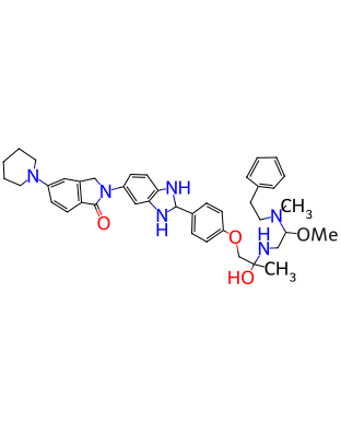 COC(CNC(C)(O)COc1ccc(C2Nc3ccc(N4Cc5cc(N6CCCCC6)ccc5C4=O)cc3N2)cc1)N(C)CCc1ccccc1